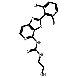 O=C(NCCO)Nc1nccc2nc(-c3c(F)cccc3Cl)sc12